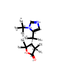 [2H]C1([2H])OC(=O)[C@@]([2H])(CC)[C@H]1C([2H])([2H])c1cncn1C([2H])([2H])[2H]